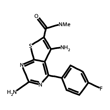 CNC(=O)c1sc2nc(N)nc(-c3ccc(F)cc3)c2c1N